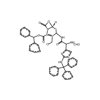 O=CNC(C(=O)NC1S[C@H]2OC(=O)N2S(C(=O)OC(c2ccccc2)c2ccccc2)=S1CCl)c1csc(NC(c2ccccc2)(c2ccccc2)c2ccccc2)n1